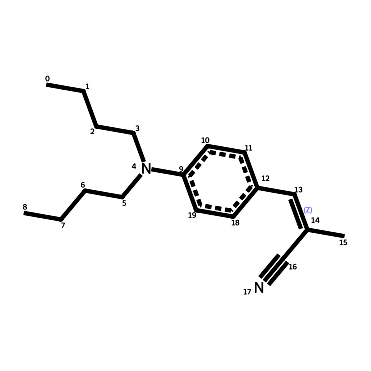 CCCCN(CCCC)c1ccc(/C=C(/C)C#N)cc1